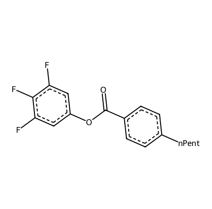 CCCCCc1ccc(C(=O)Oc2cc(F)c(F)c(F)c2)cc1